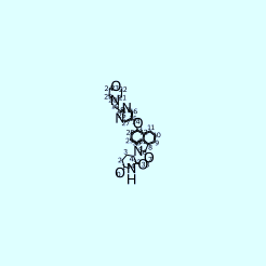 O=C1CCC(N2C(=O)c3cccc4c(Oc5cnc(CN6CCOCC6)nc5)ccc2c34)C(=O)N1